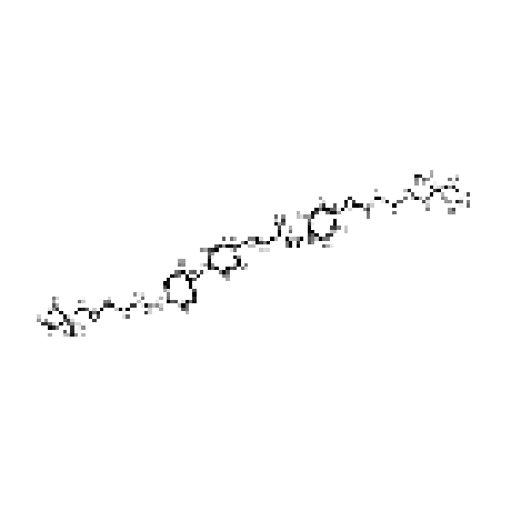 CCC1(COCCCOc2ccc(OC(=O)/C=C/c3ccc(-c4ccc(OCCCOCC5(CC)COC5)cc4)cc3)cc2)COC1